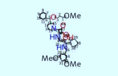 COCCCOC(c1ccccc1)C1CCCN(c2c(N[C@@H](C)[C@@H](O)C(NCc3cc(OC)cc(OC)c3)C3CCCCC3)c(=O)c2=O)C1